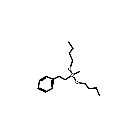 CCCCO[Si](C)(CCc1ccccc1)OCCCC